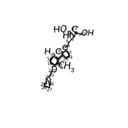 Cc1c(OCCCN[C@@H](CO)C(=O)O)cccc1-c1cccc(OCCCN2CCCC2)c1C